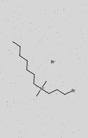 CCCCCCC[N+](C)(C)CCCBr.[Br-]